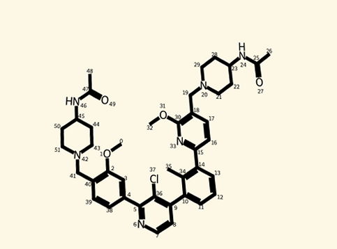 COc1cc(-c2nccc(-c3cccc(-c4ccc(CN5CCC(NC(C)=O)CC5)c(OC)n4)c3C)c2Cl)ccc1CN1CCC(NC(C)=O)CC1